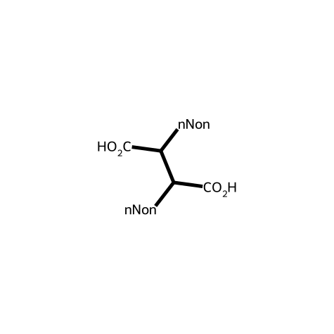 CCCCCCCCCC(C(=O)O)C(CCCCCCCCC)C(=O)O